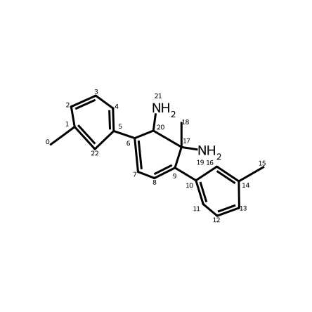 Cc1cccc(C2=CC=C(c3cccc(C)c3)C(C)(N)C2N)c1